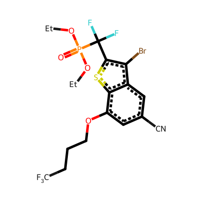 CCOP(=O)(OCC)C(F)(F)c1sc2c(OCCCC(F)(F)F)cc(C#N)cc2c1Br